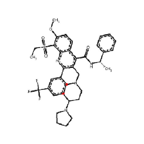 CCS(=O)(=O)c1c(OC)ccc2c(C(=O)N[C@@H](C)c3ccccc3)c(CN3CCC(N4CCCC4)CC3)c(-c3cccc(C(F)(F)F)c3)nc12